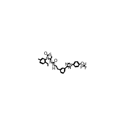 CCc1ccc(C)cc1N1C(=O)SC/C1=N\C(=O)NCCc1cccc(-c2ncn(-c3ccc(OC(F)(F)F)cc3)n2)c1